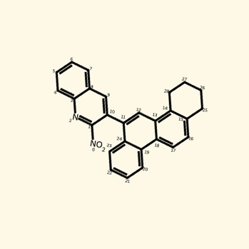 O=[N+]([O-])c1nc2ccccc2cc1-c1cc2c3c(ccc2c2ccccc12)CCCC3